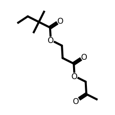 CCC(C)(C)C(=O)OCCC(=O)OCC(C)=O